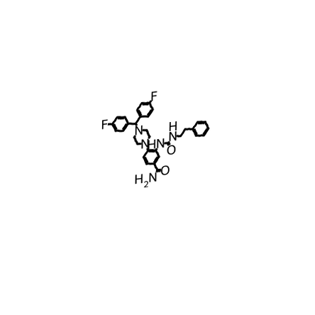 NC(=O)c1ccc(N2CCN(C(c3ccc(F)cc3)c3ccc(F)cc3)CC2)c(NC(=O)NCCc2ccccc2)c1